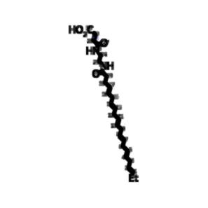 CCC=CCC=CCC=CCC=CCC=CCC=CCCC(=O)NCCNC(=O)/C=C/C(=O)O